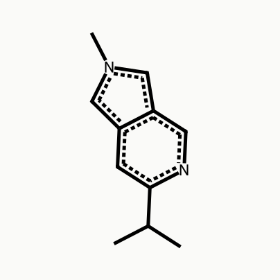 CC(C)c1cc2cn(C)cc2cn1